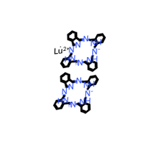 [Lu+2].c1ccc2c(c1)C1=NC2=Nc2[nH]c(c3ccccc23)[N-]c2[nH]c(c3ccccc23)/N=c2\[nH]c(c3ccccc23)=N1.c1ccc2c(c1)C1=NC2=Nc2[nH]c(c3ccccc23)[N-]c2[nH]c(c3ccccc23)/N=c2\[nH]c(c3ccccc23)=N1